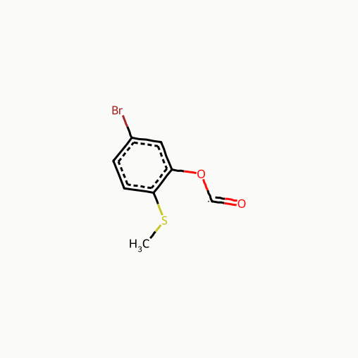 CSc1ccc(Br)cc1O[C]=O